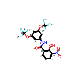 O=C(Nc1cc(OC(F)(F)F)cc(OC(F)(F)F)c1)c1cccc([N+](=O)[O-])c1O